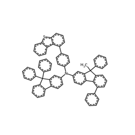 CC1(c2ccccc2)c2cc(N(c3ccc(-c4cccc5sc6ccccc6c45)cc3)c3ccc4c(c3)C(c3ccccc3)(c3ccccc3)c3ccccc3-4)ccc2-c2c(-c3ccccc3)cccc21